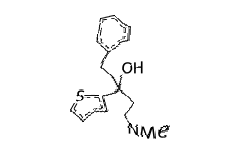 CNCCC(O)(Cc1ccccc1)c1cccs1